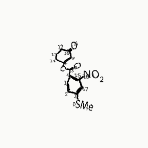 CSc1ccc(C(=O)OC2=CC(=O)CCC2)c([N+](=O)[O-])c1